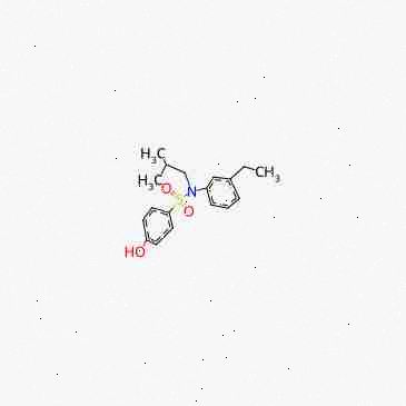 CCc1cccc(N(CC(C)C)S(=O)(=O)c2ccc(O)cc2)c1